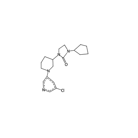 O=C1N(C2CCCC2)CCN1C1CCCN(c2cncc(Cl)c2)C1